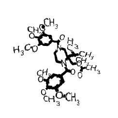 COc1cc(C(=O)N2CCN(C(=O)c3cc(OC)c(OC)c(OC)c3)C(COC(C)=O)(C(C)(C)C)C2)cc(OC)c1OC